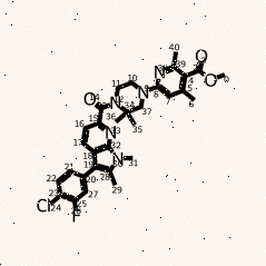 COC(=O)c1c(C)cc(N2CCN(C(=O)c3ccc4c(-c5ccc(Cl)c(F)c5)c(C)n(C)c4n3)C(C)(C)C2)nc1C